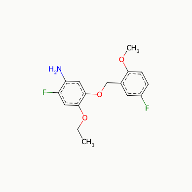 CCOc1cc(F)c(N)cc1OCc1cc(F)ccc1OC